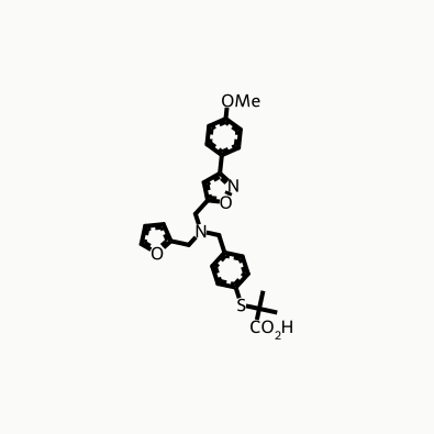 COc1ccc(-c2cc(CN(Cc3ccc(SC(C)(C)C(=O)O)cc3)Cc3ccco3)on2)cc1